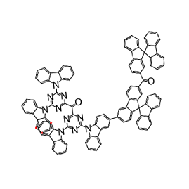 O=C(c1ccc2c(c1)C1(c3ccccc3-c3ccccc31)c1ccccc1-2)c1ccc2c(c1)C1(c3ccccc3-c3ccccc31)c1ccc(-c3ccc4c(c3)c3ccccc3n4-c3nc(C(=O)c4nc(-n5c6ccccc6c6ccccc65)nc(-n5c6ccccc6c6ccccc65)n4)nc(-n4c5ccccc5c5ccccc54)n3)cc1-2